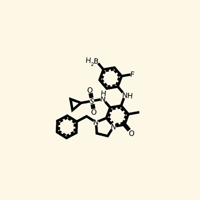 Bc1ccc(Nc2c(NS(=O)(=O)C3CC3)c3n(c(=O)c2C)CCN3Cc2ccccc2)c(F)c1